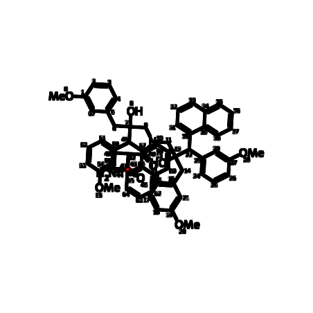 COc1cccc(CC(O)(CN(CC(O)(Cc2cccc(OC)c2)C(c2cccc(OC)c2)c2cccc3ccccc23)C(=O)C2(C(N)=O)CCC2)C(c2cccc(OC)c2)c2cccc3ccccc23)c1